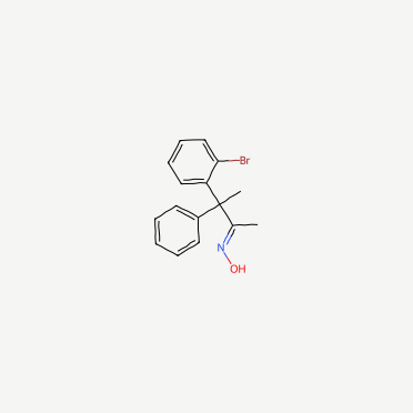 CC(=NO)C(C)(c1ccccc1)c1ccccc1Br